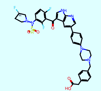 O=C(O)Cc1ccc(CN2CCN(c3ccc(-c4cnc5[nH]cc(C(=O)c6c(F)ccc(N(N7CC[C@@H](F)C7)[SH](=O)=O)c6F)c5c4)cc3)CC2)cc1